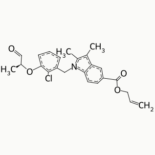 C=CCOC(=O)c1ccc2c(c1)c(C)c(C)n2Cc1cccc(O[C@@H](C)C=O)c1Cl